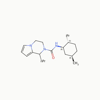 CCCC1c2cccn2CCN1C(=O)N[C@@H]1C[C@H](C)CC[C@H]1C(C)C